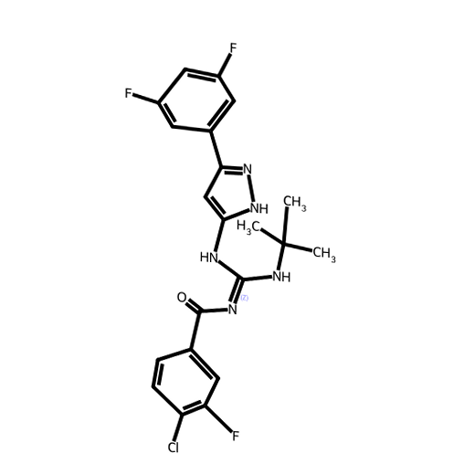 CC(C)(C)N/C(=N/C(=O)c1ccc(Cl)c(F)c1)Nc1cc(-c2cc(F)cc(F)c2)n[nH]1